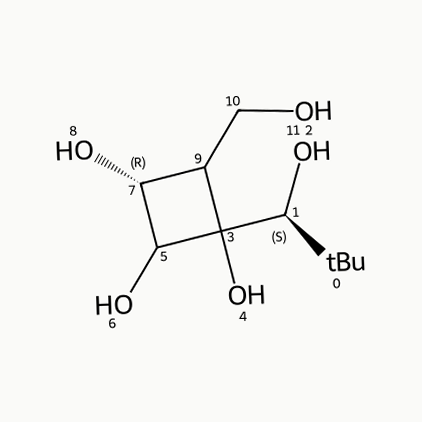 CC(C)(C)[C@H](O)C1(O)C(O)[C@H](O)C1CO